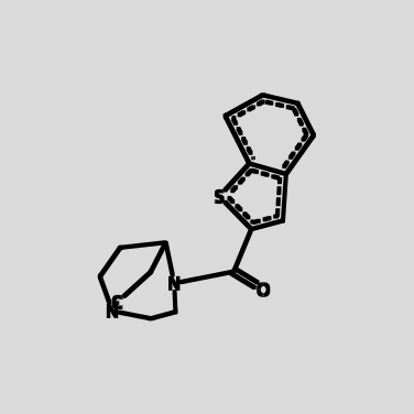 O=C(c1cc2ccccc2s1)N1CCN2CCC1CC2